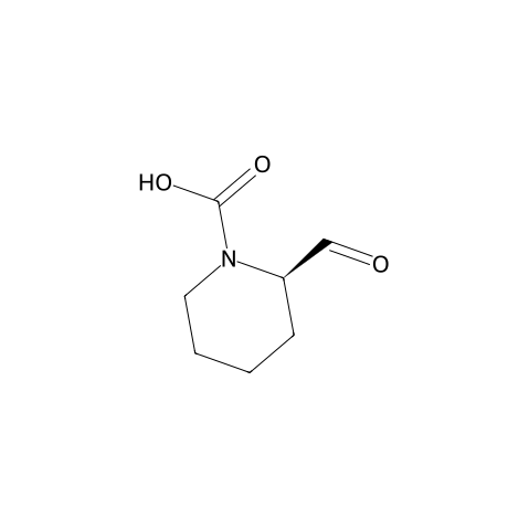 O=C[C@H]1CCCCN1C(=O)O